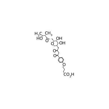 C[C@H]([C@@H]1O[C@H]1C[C@@H]1OC[C@H](CC(=O)CC(=O)c2ccc(OCCCC(=O)O)cc2)[C@@H](O)[C@H]1O)[C@H](C)O